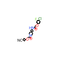 N#C[C@H]1C[C@@H](OCC(=O)N2CCC3(CC2)CC(NC(=O)COc2ccc(Cl)c(F)c2)C3)C1